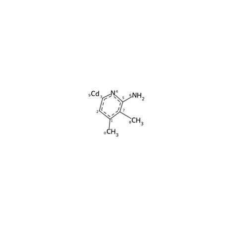 Cc1ccnc(N)c1C.[Cd]